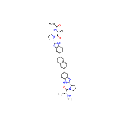 COC(=O)N[C@@H](C)C(=O)N1CCC[C@H]1c1nc2cc(-c3ccc4cc(-c5ccc6[nH]c([C@@H]7CCCN7C(=O)[C@H](C)NC(=O)O)nc6c5)ccc4c3)ccc2[nH]1